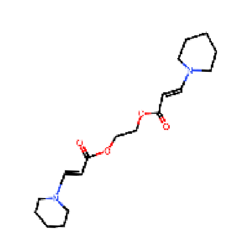 O=C(/C=C/N1CCCCC1)OCCOC(=O)/C=C/N1CCCCC1